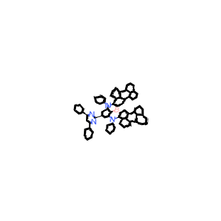 c1ccc(-c2cc(-c3ccccc3)nc(-c3cc4c5c(c3)N(c3ccccc3)c3c(cc6c7cccc8cccc(c9cccc3c96)c87)B5c3cc5c6cccc7cccc(c8cccc(c3N4c3ccccc3)c85)c76)n2)cc1